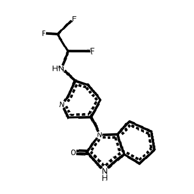 O=c1[nH]c2ccccc2n1-c1ccc(NC(F)C(F)F)nc1